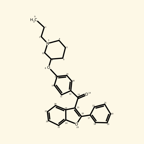 CCCN1CCCC(Oc2ccc(C(=O)c3c(-c4ccccc4)oc4ccccc34)cc2)C1